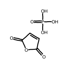 O=C1C=CC(=O)O1.O=P(O)(O)O